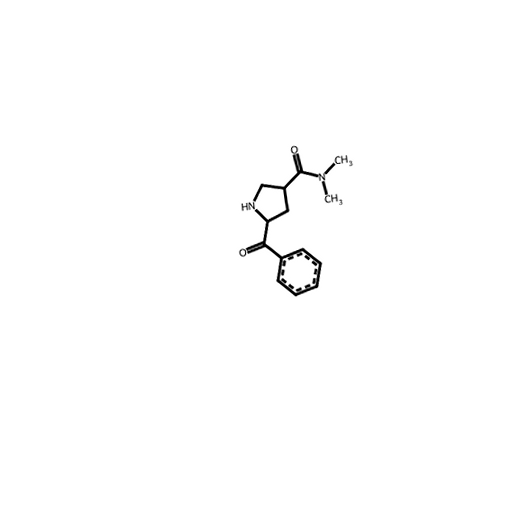 CN(C)C(=O)C1CNC(C(=O)c2ccccc2)C1